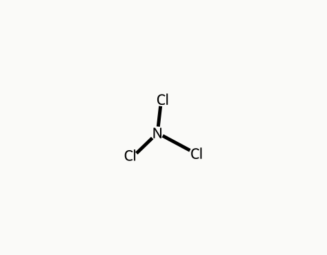 ClN(Cl)Cl